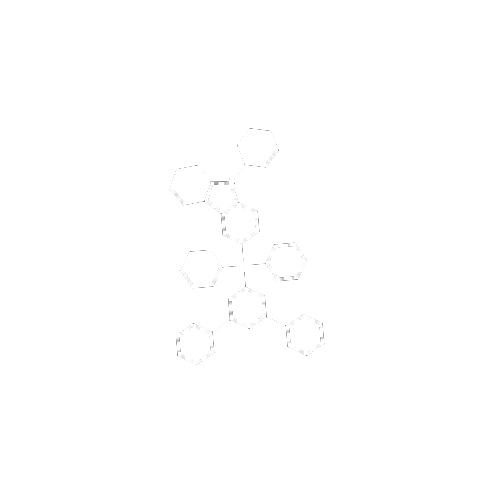 C1=CCCC(S(c2ccccc2)(c2cc(-c3ccccc3)cc(-c3ccccc3)c2)c2ccc3c(c2)c2c(n3C3C=CCCC3)CCC=C2)=C1